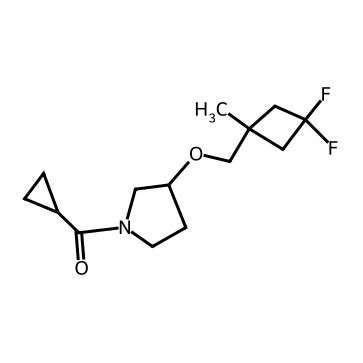 CC1(COC2CCN(C(=O)C3CC3)C2)CC(F)(F)C1